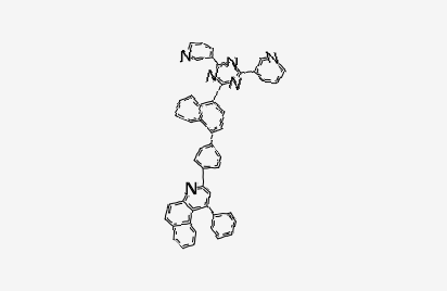 c1ccc(-c2cc(-c3ccc(-c4ccc(-c5nc(-c6cccnc6)nc(-c6cccnc6)n5)c5ccccc45)cc3)nc3ccc4ccccc4c23)cc1